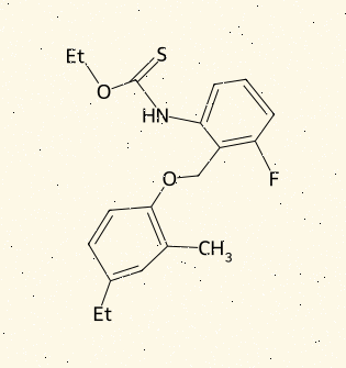 CCOC(=S)Nc1cccc(F)c1COc1ccc(CC)cc1C